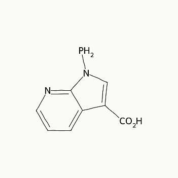 O=C(O)c1cn(P)c2ncccc12